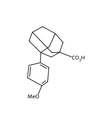 COc1ccc(C23CC4CC(CC(C(=O)O)(C4)C2)C3)cc1